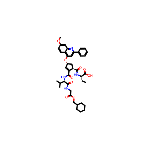 CC[C@H](NC(=O)[C@@H]1C[C@@H](Oc2cc(-c3ccccc3)nc3cc(OC)ccc23)C=C1C(=O)N[C@@H](C(=O)NCC(=O)OCC1CCCCC1)C(C)C)C(=O)O